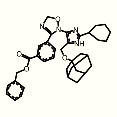 O=C(OCc1ccccc1)c1cccc(C2=NCON2c2nc(C3CCCCC3)[nH]c2COC23CC4CC(CC(C4)C2)C3)c1